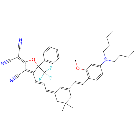 CCCCN(CCCC)c1ccc(C=CC2=CC(=CC=CC3=C(C#N)C(=C(C#N)C#N)OC3(c3ccccc3)C(F)(F)F)CC(C)(C)C2)c(OC)c1